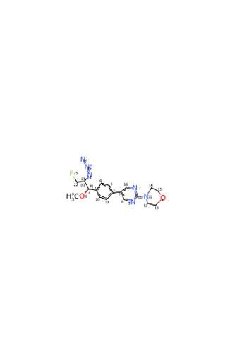 CO[C@H](c1ccc(-c2cnc(N3CCOCC3)nc2)cc1)[C@@H](CF)N=[N+]=[N-]